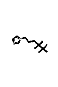 CC(C)(C)C(C)(C)CCCn1ccnc1